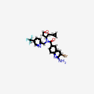 Nc1nc2ccc(C(=O)N(Cc3ccc(C(F)(F)F)cn3)C3CCOC3C3CC3)cc2cc1Br